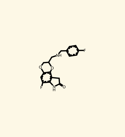 O=C1Cc2c(c(F)cc3c2OC(CNCc2ccc(F)cc2)CO3)N1